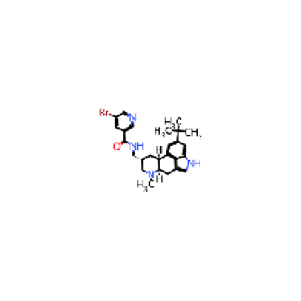 CN1C[C@H](CNC(=O)c2cncc(Br)c2)C[C@@H]2c3cc(C(C)(C)C)cc4[nH]cc(c34)C[C@H]21